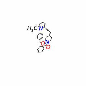 Cc1cccc(C#CC=C2CCN(C(=O)C3(OCc4ccccc4)C=CC=CC3)CC2)n1